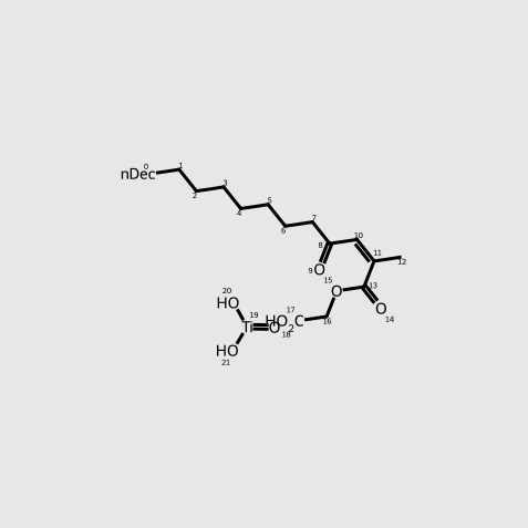 CCCCCCCCCCCCCCCCCC(=O)C=C(C)C(=O)OCC(=O)O.[O]=[Ti]([OH])[OH]